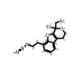 CCC1(CC(C)=O)OCCc2c1oc1c(CCN=[N+]=[N-])cccc21